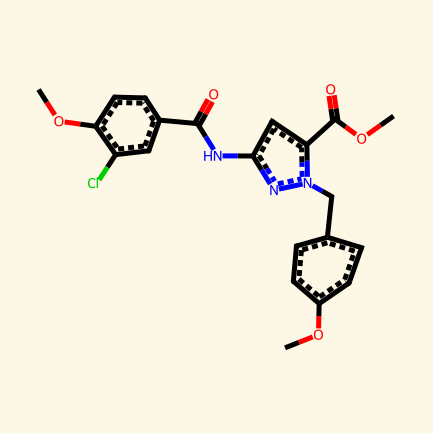 COC(=O)c1cc(NC(=O)c2ccc(OC)c(Cl)c2)nn1Cc1ccc(OC)cc1